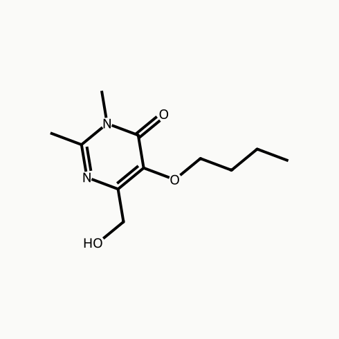 CCCCOc1c(CO)nc(C)n(C)c1=O